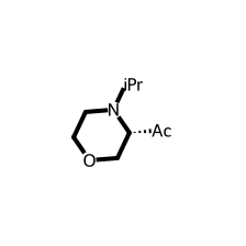 CC(=O)[C@@H]1COCCN1C(C)C